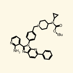 CC(C)(C)OC(=O)N(C1CC1)C1CCN(Cc2ccc(-n3c(-c4cccnc4N)nc4ccc(-c5ccccc5)nc43)cc2)CC1